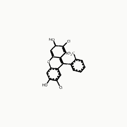 O=C(O)c1ccccc1C1=C2C=C(Cl)C(O)C=C2Oc2cc(O)c(Cl)cc21